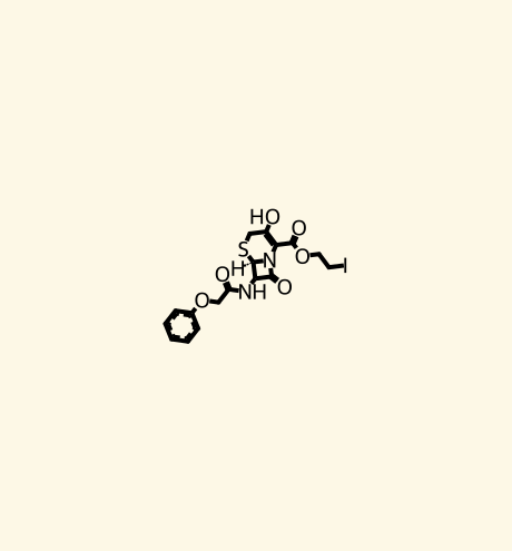 O=C(COc1ccccc1)NC1C(=O)N2C(C(=O)OCCI)=C(O)CS[C@H]12